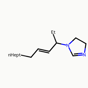 CCCCCCCCC=CC(CC)N1C=NCC1